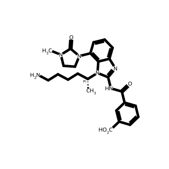 C[C@H](CCCCN)n1c(NC(=O)c2cccc(C(=O)O)c2)nc2cccc(N3CCN(C)C3=O)c21